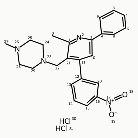 Cc1nc(-c2ccccc2)cc(-c2cccc([N+](=O)[O-])c2)c1CN1CCN(C)CC1.Cl.Cl